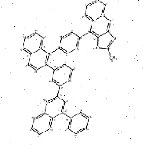 Cc1nc2cc3ccccc3c(-c3ccc(-c4c(-c5cccc(-c6cc(-c7ccccc7)c7ccccc7n6)c5)ccc5ccccc45)cc3)c2o1